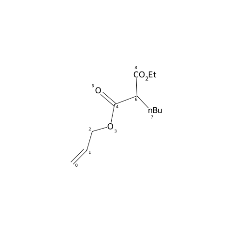 C=CCOC(=O)C(CCCC)C(=O)OCC